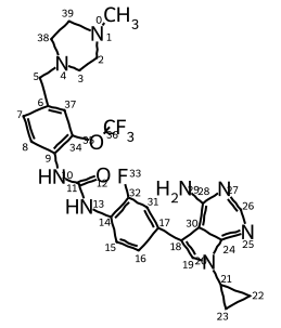 CN1CCN(Cc2ccc(NC(=O)Nc3ccc(-c4cn(C5CC5)c5ncnc(N)c45)cc3F)c(OC(F)(F)F)c2)CC1